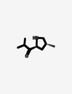 CC(C)C(=O)[C@@H]1C[C@@H](C)CN1